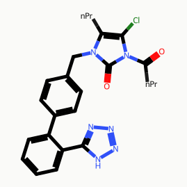 CCCC(=O)n1c(Cl)c(CCC)n(Cc2ccc(-c3ccccc3-c3nnn[nH]3)cc2)c1=O